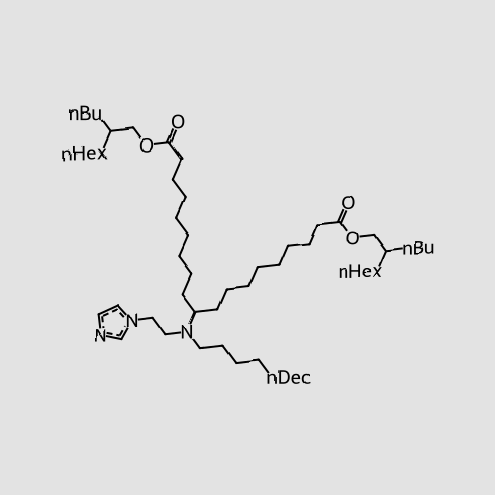 CCCCCCCCCCCCCCN(CCn1ccnc1)C(CCCCCCCCC(=O)OCC(CCCC)CCCCCC)CCCCCCCCC(=O)OCC(CCCC)CCCCCC